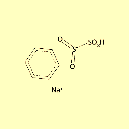 O=[S-](=O)S(=O)(=O)O.[Na+].c1ccccc1